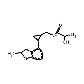 CC1Cc2c(cccc2C2CC2CNC(=O)C(C)C)O1